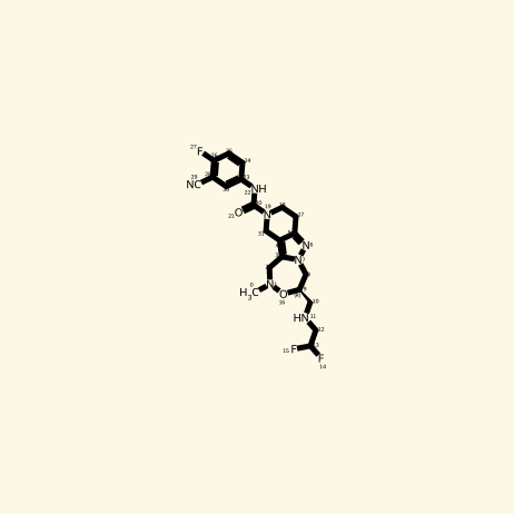 CN1Cc2c3c(nn2C[C@@H](CNCC(F)F)O1)CCN(C(=O)Nc1ccc(F)c(C#N)c1)C3